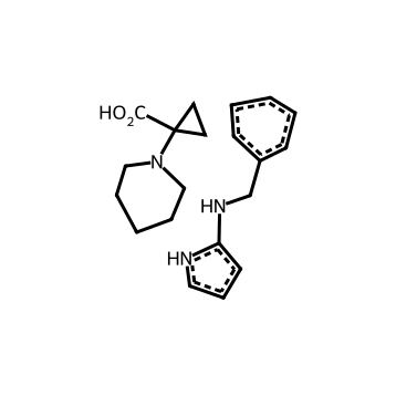 O=C(O)C1(N2CCCCC2)CC1.c1ccc(CNc2ccc[nH]2)cc1